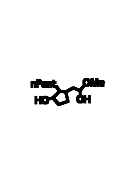 CCCCCC1C(O)CCC1CC(O)OC